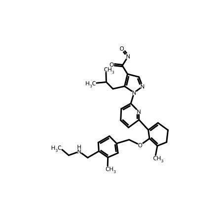 CCNCc1ccc(COC2=C(C)CCC=C2c2cccc(-n3ncc(C(=O)N=O)c3CC(C)C)n2)cc1C